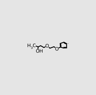 CC(O)CCOCCOc1cc[c]cc1